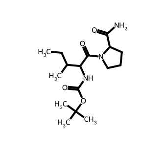 CCC(C)C(NC(=O)OC(C)(C)C)C(=O)N1CCCC1C(N)=O